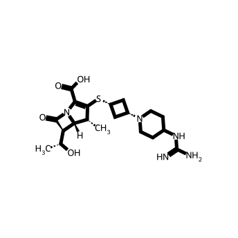 C[C@@H](O)[C@H]1C(=O)N2C(C(=O)O)=C(S[C@H]3C[C@@H](N4CCC(NC(=N)N)CC4)C3)[C@H](C)[C@H]12